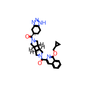 O=C(c1cc2ccccc2c(OCC2CC2)n1)N1C[C@@H]2[C@H](C1)[C@H]1CN(C(=O)[C@@H]3CCc4[nH]nnc4C3)C[C@@H]21